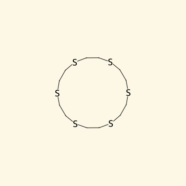 C1CSCCSCCSCCSCCSCCS1